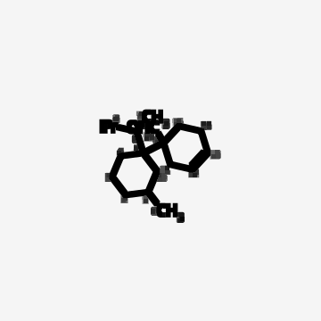 CC1CCCC(C(C)C(C)C)(C2(C=O)CC=CCC2)C1